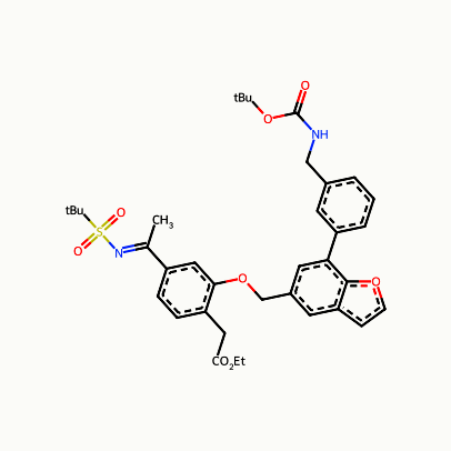 CCOC(=O)Cc1ccc(C(C)=NS(=O)(=O)C(C)(C)C)cc1OCc1cc(-c2cccc(CNC(=O)OC(C)(C)C)c2)c2occc2c1